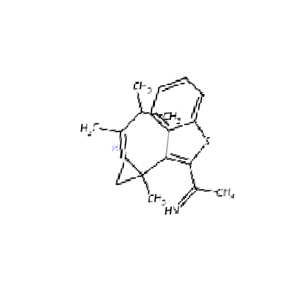 CC(=N)c1sc2ccccc2c1C1(C)C/C1=C(\C)C(C)C